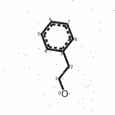 [O]C[CH]c1ccccc1